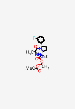 CCC(CC)(C(=O)OC(C)OC(=O)OC)[C@H]1CC[C@@H](c2cccc(F)c2)N1C(=O)[C@@H](C)N